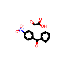 O=C(c1ccccc1)c1ccc([N+](=O)[O-])cc1.O=CC(=O)O